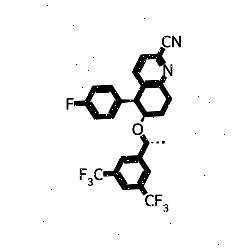 C[C@@H](O[C@H]1CCc2nc(C#N)ccc2[C@@H]1c1ccc(F)cc1)c1cc(C(F)(F)F)cc(C(F)(F)F)c1